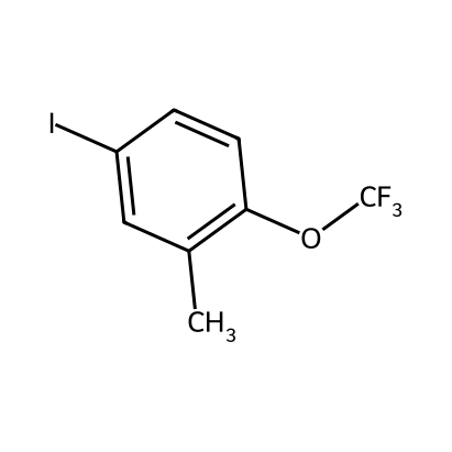 Cc1cc(I)ccc1OC(F)(F)F